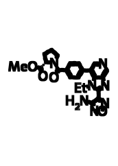 CCn1c(-c2nonc2N)nc2cncc(-c3ccc(C(=O)N4CCC[C@H]4C(=O)OC)cc3)c21